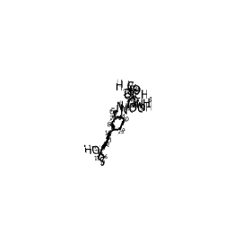 C[C@@](CCn1ncc2cc(C#CC#CC3(O)CSC3)ccc21)(C(=O)NO)S(C)(=O)=O